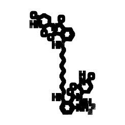 Nc1cccc(NCCCCCCCCCNc2cccc3c2C(=O)N(C2CCC(=O)NC2=O)C3=O)c1C(=O)N(N)C1CCC(=O)NC1=O